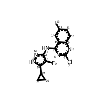 Fc1c(Nc2nc(Cl)nc3ccc(I)cc23)n[nH]c1C1CC1